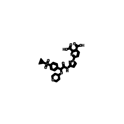 O=C(O)c1ccc(-n2ccc(NC(=O)C(OC3CCOCC3)c3ccc(S(=O)(=O)C4CC4)cc3)n2)nc1C(=O)O